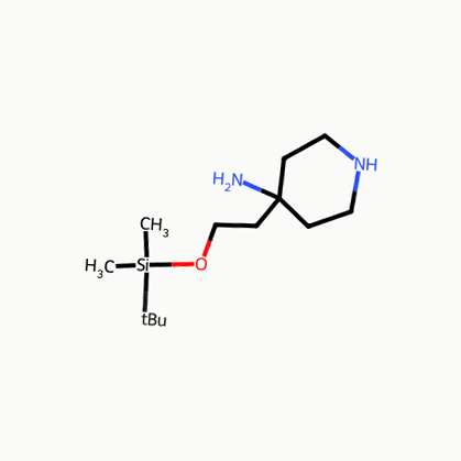 CC(C)(C)[Si](C)(C)OCCC1(N)CCNCC1